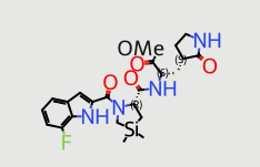 COC(=O)[C@H](C[C@@H]1CCNC1=O)NC(=O)[C@@H]1C[Si](C)(C)CN1C(=O)c1cc2cccc(F)c2[nH]1